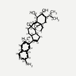 CN(C)[C@H]1C[C@@]23CC[C@]4(O2)C2CC=C(c5ccc6cnc(N)cc6c5)[C@@]2(C)CCC4(Cl)C=C3[C@@H](O)[C@@H]1O